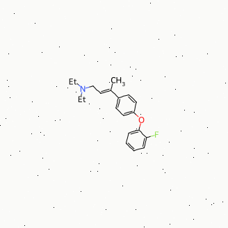 CCN(CC)CC=C(C)c1ccc(Oc2ccccc2F)cc1